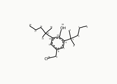 CCCC(C)(C)c1cc(CCl)cc(C(C)(C)CCC)c1O